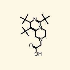 CC(C)(C)C1=NC(C(C)(C)C)C(C(C)(C)C)=C2CN(CC(=O)O)CCN12